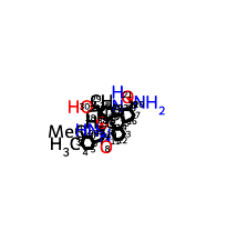 COc1c(C)ccc2c(=O)n(-c3cccc(-c4ccc(C(N)=O)c5[nH]c6cc(C(C)(C)O)ccc6c45)c3C)c(=O)[nH]c12